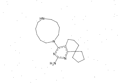 Nc1nc(N2CCCCCNCCCC2)c2c(n1)C1(CCCC1)CCC2